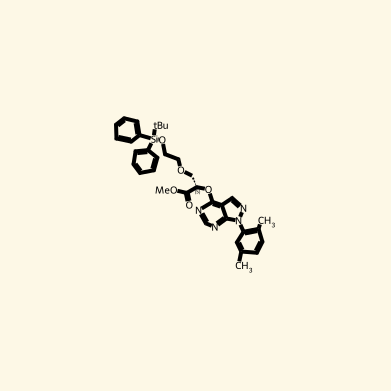 COC(=O)[C@H](COCCO[Si](c1ccccc1)(c1ccccc1)C(C)(C)C)Oc1ncnc2c1cnn2-c1cc(C)ccc1C